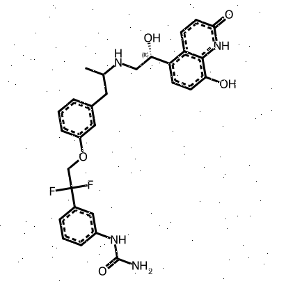 CC(Cc1cccc(OCC(F)(F)c2cccc(NC(N)=O)c2)c1)NC[C@H](O)c1ccc(O)c2[nH]c(=O)ccc12